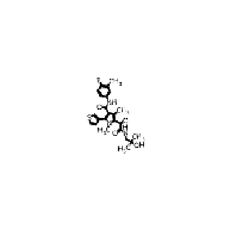 Cc1cc(NC(=O)c2c(C)c(C(=O)C(=O)NCC(C)(C)O)n(C)c2-c2ccsc2)ccc1F